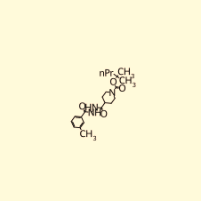 CCCC(C)(C)OC(=O)N1CCC(C(=O)NNC(=O)c2cccc(C)c2)CC1